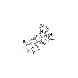 [2H]C([2H])([2H])n1c(=O)n(CC(F)(F)F)c2cc(Br)c(C(=O)c3cc(F)ccc3Cl)c(Br)c21